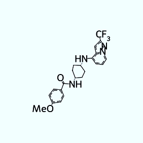 COc1ccc(C(=O)N[C@H]2CC[C@@H](Nc3cccn4nc(C(F)(F)F)cc34)CC2)cc1